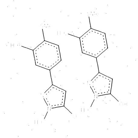 CSc1ccc(-c2cc(O)n(C)n2)cc1C.CSc1ccc(-c2cc(O)n(C)n2)cc1C